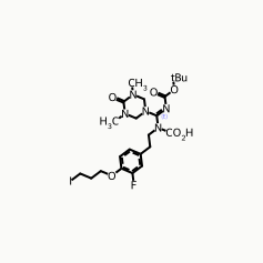 CN1CN(/C(=N\C(=O)OC(C)(C)C)N(CCc2ccc(OCCCI)c(F)c2)C(=O)O)CN(C)C1=O